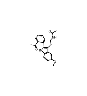 COc1ccc2[nH]c(-c3ccccc3C(C)=O)c(CCNC(C)=O)c2c1